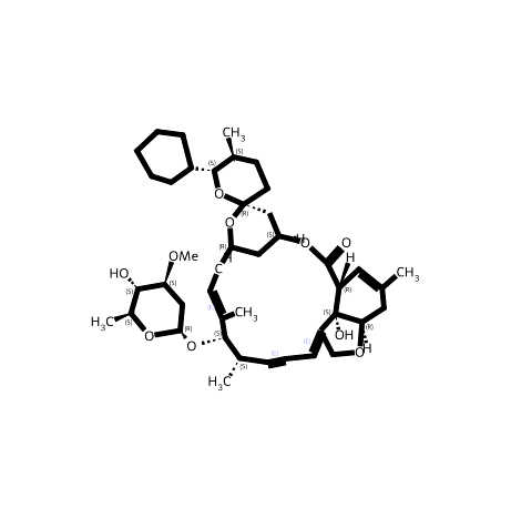 CO[C@H]1C[C@H](O[C@@H]2/C(C)=C/C[C@@H]3C[C@@H](C[C@]4(CC[C@H](C)[C@@H](C5CCCCC5)O4)O3)OC(=O)[C@@H]3C=C(C)C[C@H]4OC/C(=C\C=C\[C@@H]2C)[C@]43O)O[C@@H](C)[C@@H]1O